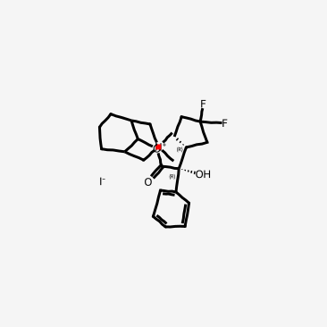 C[N+]1(C)CC2CCCC(C1)C2OC(=O)[C@](O)(c1ccccc1)[C@@H]1CCC(F)(F)C1.[I-]